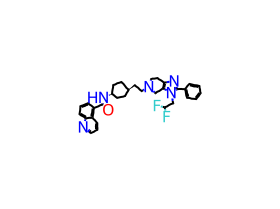 O=C(N[C@H]1CC[C@H](CCN2CCc3nc(-c4ccccc4)n(CC(F)F)c3C2)CC1)c1cccc2ncccc12